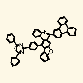 c1ccc(-c2nc(-c3ccccc3)nc(-c3ccc(-c4c5c(cc6c(-c7ccc8c9ccccc9c9ccccc9c8c7)nc7ccccc7c46)oc4ccccc45)cc3)n2)cc1